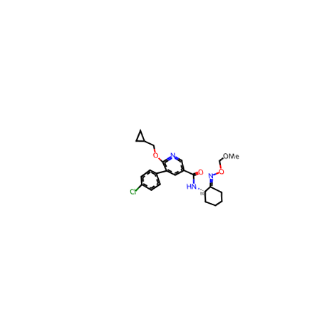 COCON=C1CCCC[C@@H]1NC(=O)c1cnc(OCC2CC2)c(-c2ccc(Cl)cc2)c1